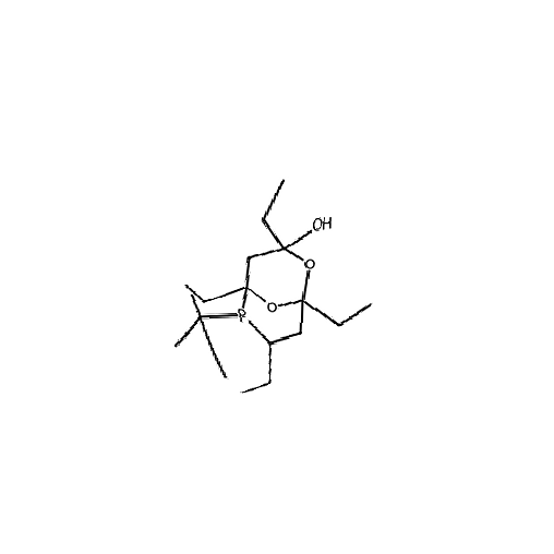 CCC1CC2(CC)OC(O)(CC)CC(CC)(O2)P1C(C)(C)C